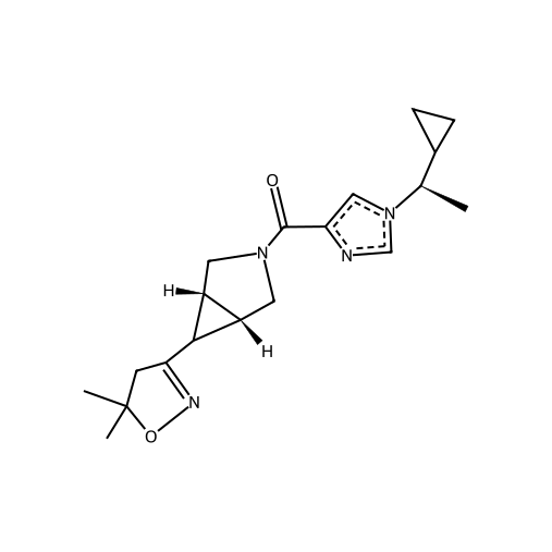 C[C@H](C1CC1)n1cnc(C(=O)N2C[C@@H]3C(C4=NOC(C)(C)C4)[C@@H]3C2)c1